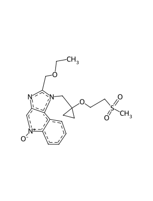 CCOCc1nc2c[n+]([O-])c3ccccc3c2n1CC1(OCCS(C)(=O)=O)CC1